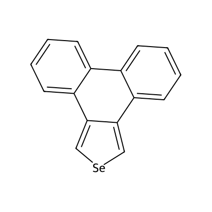 c1ccc2c(c1)c1ccccc1c1c[se]cc21